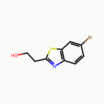 OCCc1nc2ccc(Br)cc2s1